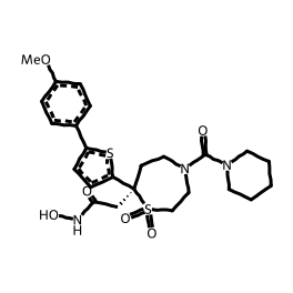 COc1ccc(-c2ccc([C@@]3(CC(=O)NO)CCN(C(=O)N4CCCCC4)CCS3(=O)=O)s2)cc1